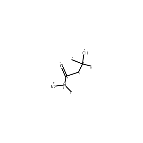 CCN(C)C(=O)CC(C)(C)O